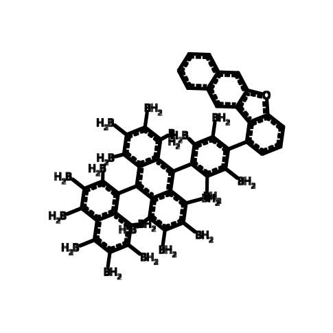 Bc1c(B)c(-c2cccc3oc4cc5ccccc5cc4c23)c(B)c(B)c1-c1c2c(B)c(B)c(B)c(B)c2c(-c2c(B)c(B)c(B)c3c(B)c(B)c(B)c(B)c23)c2c(B)c(B)c(B)c(B)c12